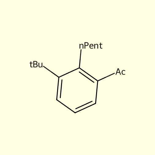 C[CH]CCCc1c(C(C)=O)cccc1C(C)(C)C